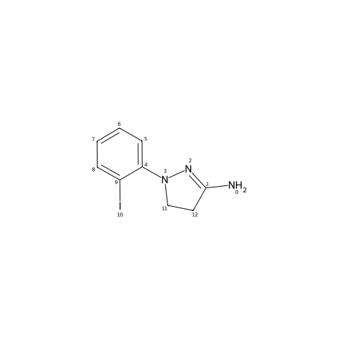 NC1=NN(c2ccccc2I)CC1